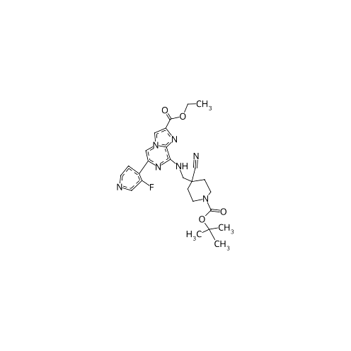 CCOC(=O)c1cn2cc(-c3ccncc3F)nc(NCC3(C#N)CCN(C(=O)OC(C)(C)C)CC3)c2n1